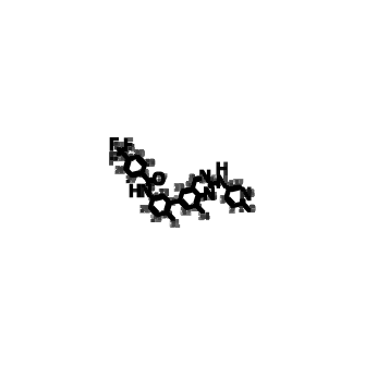 Cc1ccc(Nc2ncc3cc(-c4cc(NC(=O)c5ccc(C(F)(F)F)cc5)ccc4C)cc(C)c3n2)cn1